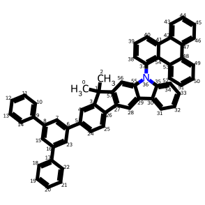 CC1(C)c2cc(-c3cc(-c4ccccc4)cc(-c4ccccc4)c3)ccc2-c2cc3c4ccccc4n(-c4cccc5c6ccccc6c6ccccc6c45)c3cc21